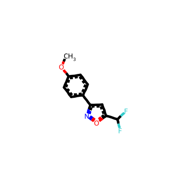 COc1ccc(-c2cc(C(F)F)on2)cc1